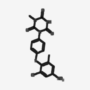 Cc1cc([N+](=O)[O-])cc(Cl)c1Sc1ccc(-n2c(=O)[nH]c(=O)n(C)c2=O)cc1